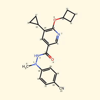 CN(NC(=O)c1cnc(OC2CCC2)c(C2CC2)c1)c1ccc(C#N)cc1